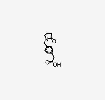 O=C(O)Cc1ccc(CN2CCCC2=O)cc1